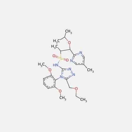 CCOCc1nnc(NS(=O)(=O)C(C)C(OC(C)C)c2ncc(C)cn2)n1-c1c(OC)cccc1OC